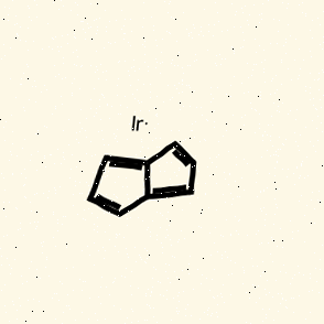 C1=CC2=CC=CC2=C1.[Ir]